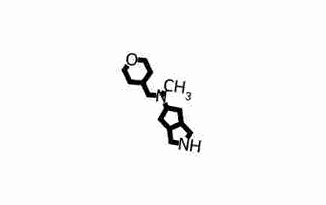 CN(CC1CCOCC1)C1CC2CNCC2C1